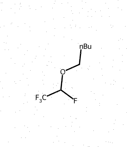 [CH2]CCCCOC(F)C(F)(F)F